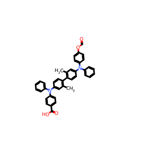 Cc1cc(N(c2ccccc2)c2ccc(OC=O)cc2)ccc1-c1ccc(N(c2ccccc2)c2ccc(C(=O)O)cc2)cc1C